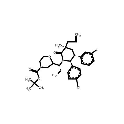 C=CC[C@@]1(C)C[C@H](c2cccc(Cl)c2)[C@@H](c2ccc(Cl)cc2)N([C@H](CC)C2CN(C(=O)OC(C)(C)C)CCO2)C1=O